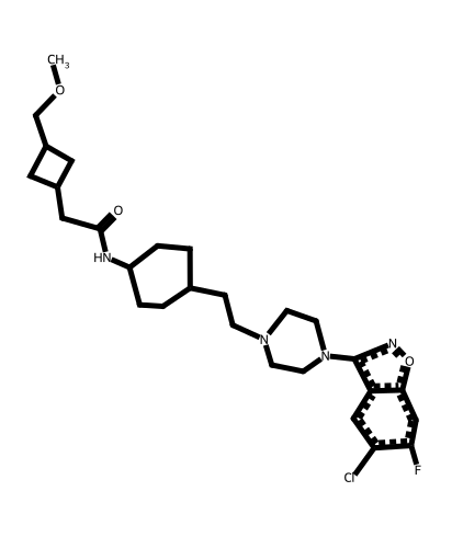 COCC1CC(CC(=O)NC2CCC(CCN3CCN(c4noc5cc(F)c(Cl)cc45)CC3)CC2)C1